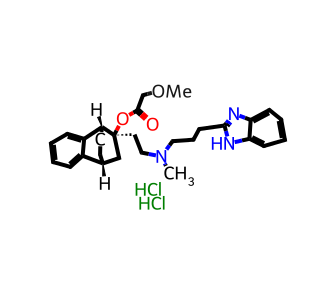 COCC(=O)O[C@@]1(CCN(C)CCCc2nc3ccccc3[nH]2)C[C@H]2CC[C@@H]1c1ccccc12.Cl.Cl